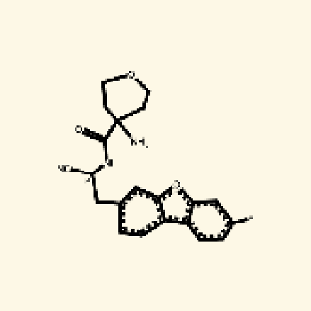 N#C[C@H](Cc1ccc2c(c1)oc1cc(F)ccc12)NC(=O)C1(N)CCOCC1